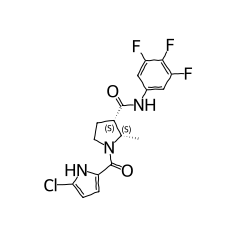 C[C@H]1[C@@H](C(=O)Nc2cc(F)c(F)c(F)c2)CCN1C(=O)c1ccc(Cl)[nH]1